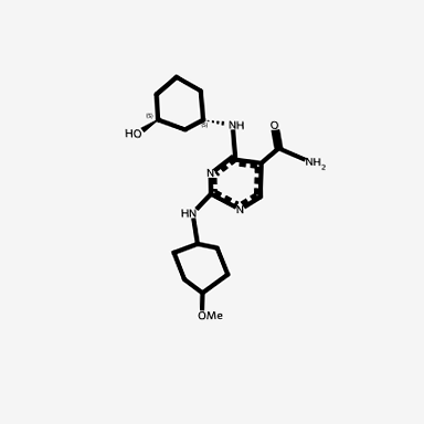 COC1CCC(Nc2ncc(C(N)=O)c(N[C@H]3CCC[C@H](O)C3)n2)CC1